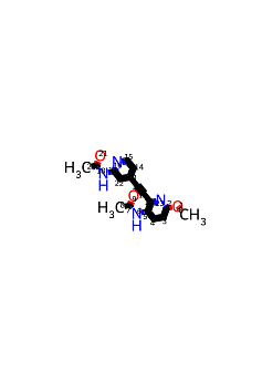 COc1ccc(NC(C)=O)c(C#Cc2ccnc(NC(C)=O)c2)n1